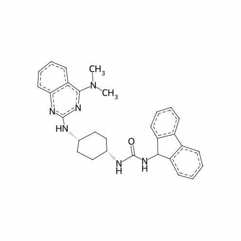 CN(C)c1nc(N[C@H]2CC[C@@H](NC(=O)NC3c4ccccc4-c4ccccc43)CC2)nc2ccccc12